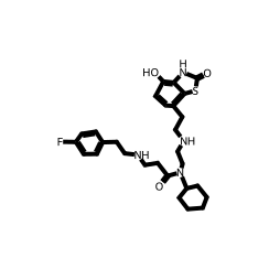 O=C(CCNCCc1ccc(F)cc1)N(CCNCCc1ccc(O)c2[nH]c(=O)sc12)C1CCCCC1